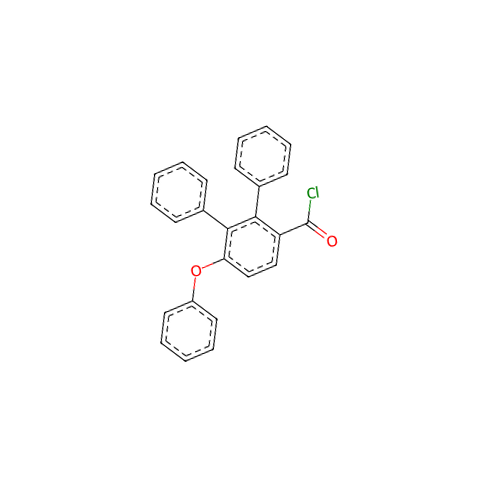 O=C(Cl)c1ccc(Oc2ccccc2)c(-c2ccccc2)c1-c1ccccc1